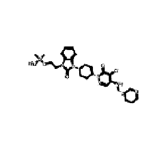 CC(C)(C)[Si](C)(C)OCCn1c(=O)n([C@H]2CC[C@@H](n3ncc(NC[C@H]4CCCOC4)c(Cl)c3=O)CC2)c2ccccc21